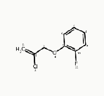 C=C(Cl)COc1ccc[c]c1F